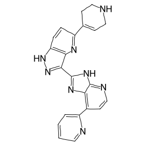 C1=C(c2ccc3[nH]nc(-c4nc5c(-c6ccccn6)ccnc5[nH]4)c3n2)CCNC1